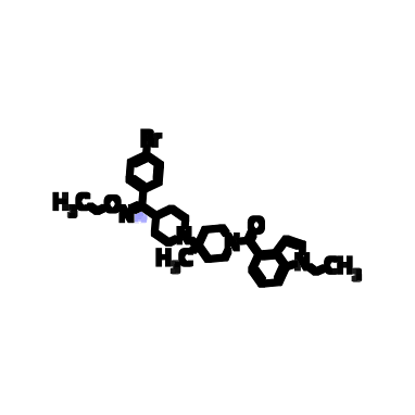 CCO/N=C(\c1ccc(Br)cc1)C1CCN(C2(C)CCN(C(=O)c3cccc4c3ccn4CC)CC2)CC1